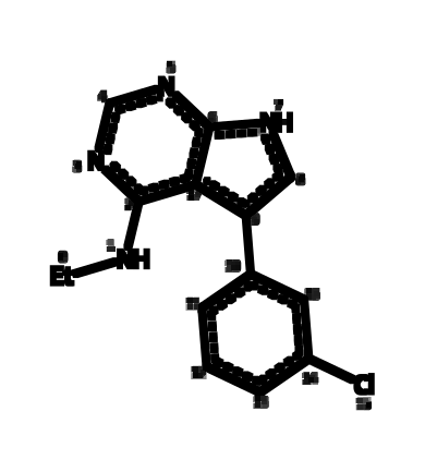 CCNc1ncnc2[nH]cc(-c3cccc(Cl)c3)c12